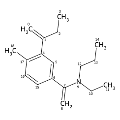 C=C(CC)c1cc(C(=C)N(CC)CCC)ccc1C